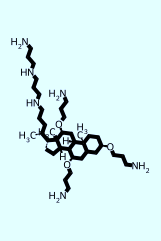 C[C@H](CCCNCCCNCCCN)[C@H]1CC[C@H]2C3[C@H](OCCCN)CC4C[C@H](OCCCN)CC[C@]4(C)[C@H]3C[C@H](OCCCN)C12C